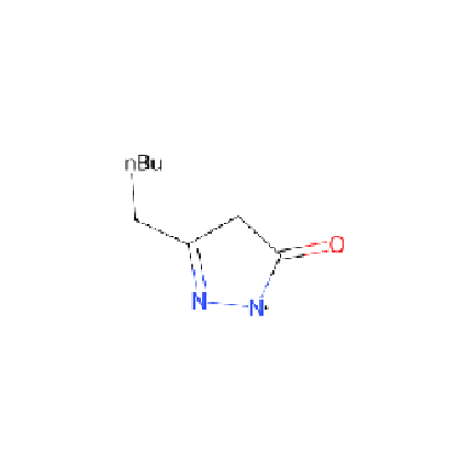 CCCCCC1=N[N]C(=O)C1